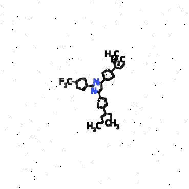 C=C/C=C(\C=C/C)c1ccc(-c2cc(-c3ccc(C(/C=C\C)=C/C=C)cc3)nc(-c3ccc(C(F)(F)F)cc3)n2)cc1